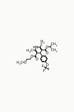 COCCOC(=O)C1=C(C)NC(C)=C(C(=O)OC(C)C)C1c1ccc(OC(F)(F)F)cc1